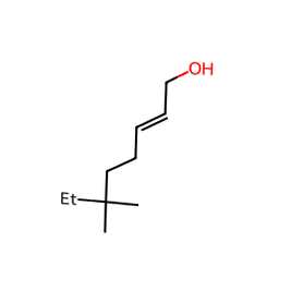 CCC(C)(C)CCC=CCO